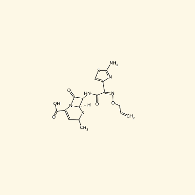 C=CCO/N=C(\C(=O)NC1C(=O)N2C(C(=O)O)=CC(C)S[C@H]12)c1csc(N)n1